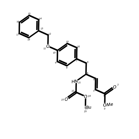 COC(=O)C=CC(Cc1ccc(OCc2ccccc2)cc1)NC(=O)OC(C)(C)C